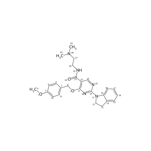 COc1ccc(COc2nc(N3CCc4ccccc43)ncc2C(=O)NCCN(C)C)cc1